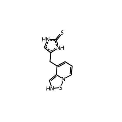 S=c1[nH]cc(CC2=CC=CN3SNC=C23)[nH]1